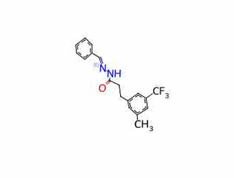 Cc1cc(CCC(=O)N/N=C/c2ccccc2)cc(C(F)(F)F)c1